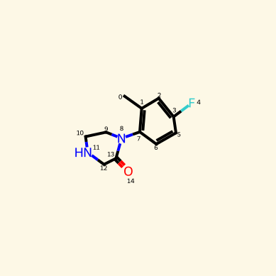 Cc1cc(F)ccc1N1CCNCC1=O